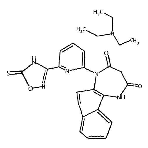 CCN(CC)CC.O=C1CC(=O)N(c2cccc(-c3noc(=S)[nH]3)n2)c2ccc3ccccc3c2N1